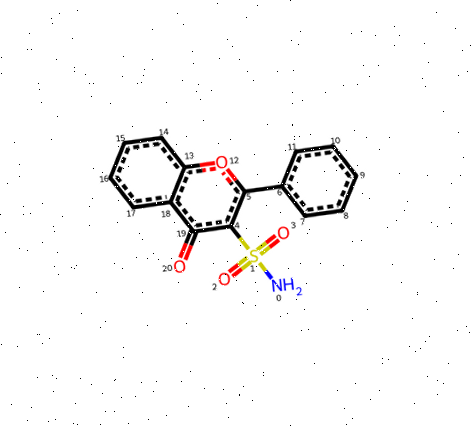 NS(=O)(=O)c1c(-c2ccccc2)oc2ccccc2c1=O